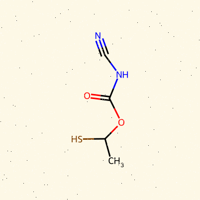 CC(S)OC(=O)NC#N